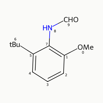 COc1cccc(C(C)(C)C)c1NC=O